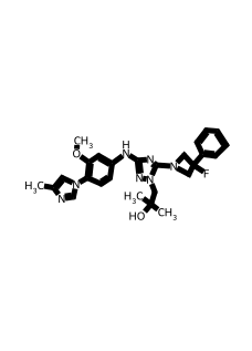 COc1cc(Nc2nc(N3CC(F)(c4ccccc4)C3)n(CC(C)(C)O)n2)ccc1-n1cnc(C)c1